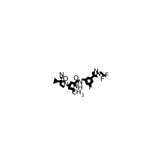 Cc1cc(N2CC[C@@](C#N)(C3CC3)C2=O)cc(C(=O)NCc2cc(F)cc(-c3cnn(CC(F)F)c3)c2)n1